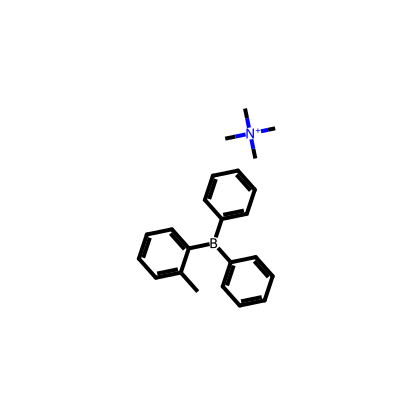 C[N+](C)(C)C.Cc1ccccc1B(c1ccccc1)c1ccccc1